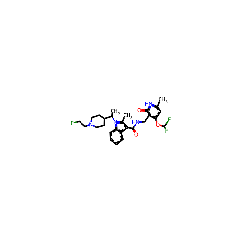 Cc1cc(OC(F)F)c(CNC(=O)c2c(C)n(C(C)C3CCN(CCF)CC3)c3ccccc23)c(=O)[nH]1